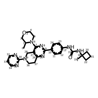 CC1COCCN1c1nc(-c2ccc(NC(=O)NC3(I)CCC3)cc2)nc2c1CN(c1ncccn1)CC2